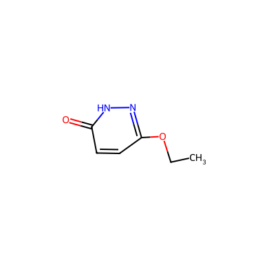 CCOc1ccc(=O)[nH]n1